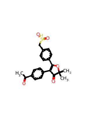 CC(=O)c1ccc(C2=C(c3ccc(C[SH](=O)=O)cc3)OC(C)(C)C2=O)cc1